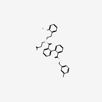 COc1ccccc1CCN(CCC(=O)O)C(=O)c1ccccc1-c1ccccc1C(=O)NCc1cccc(C)c1